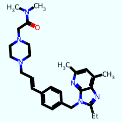 CCc1nc2c(C)cc(C)nc2n1Cc1ccc(C=CCN2CCN(CC(=O)N(C)C)CC2)cc1